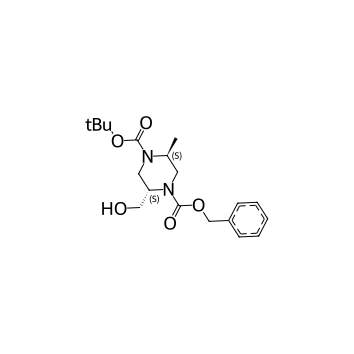 C[C@H]1CN(C(=O)OCc2ccccc2)[C@H](CO)CN1C(=O)OC(C)(C)C